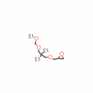 CCOCOCC(CC)(CC)COCC1CO1